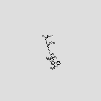 CCCCCCCCCCCN(CC)CCCN(CCCCCCCCCCC)CCCCCC(=O)OC(C)(C)Cn1c(COCC)nc2c(N)nc3ccccc3c21